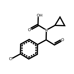 O=CC(c1ccc(Cl)cc1)N(C(=O)O)C1CC1